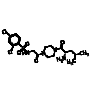 CC(C)C[C@H](N)C(=O)N1CCN(C(=O)CNS(=O)(=O)c2ccc(Cl)cc2Cl)CC1